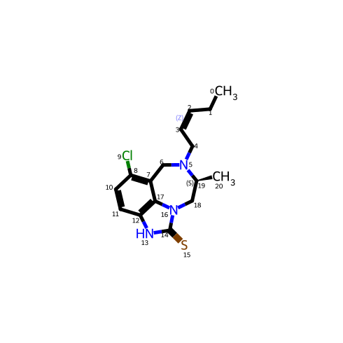 CC/C=C\CN1Cc2c(Cl)ccc3[nH]c(=S)n(c23)C[C@@H]1C